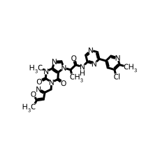 Cc1cc(Cn2c(=O)c3c(ncn3C(C)C(=O)Nc3cncc(-c4cnc(C)c(Cl)c4)n3)n(C)c2=O)no1